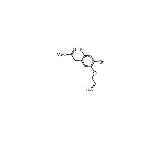 C=CCOc1cc(CC(=O)OC)c(F)cc1Br